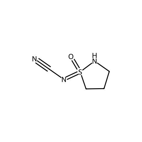 N#CN=S1(=O)CCCN1